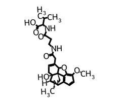 COc1ccc2c3c1OC1C(CC(=O)NCCC(=O)NC(C(=O)O)C(C)C)=CC[C@@]4(O)[C@@H](C2)N(C)CC[C@]314